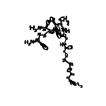 C[C@H](NC(=O)CNC(=O)COCCOCCN)C(=O)N[C@@H](CCC(N)=O)C(N)=O